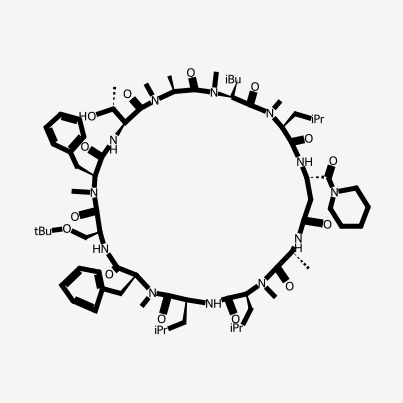 CC[C@H](C)[C@H]1C(=O)N(C)[C@@H](CC(C)C)C(=O)N[C@H](C(=O)N2CCCCC2)CC(=O)N[C@H](C)C(=O)N(C)[C@@H](CC(C)C)C(=O)N[C@@H](CC(C)C)C(=O)N(C)[C@@H](Cc2ccccc2)C(=O)N[C@@H](COC(C)(C)C)C(=O)N(C)[C@@H](Cc2ccccc2)C(=O)N[C@@H]([C@@H](C)O)C(=O)N(C)[C@@H](C)C(=O)N1C